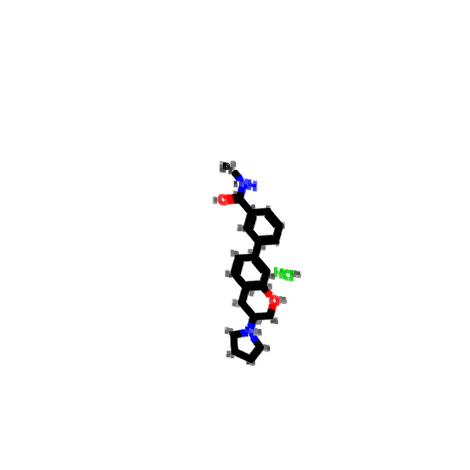 CC(C)NC(=O)c1cccc(-c2ccc3c(c2)OCC(N2CCCC2)C3)c1.Cl